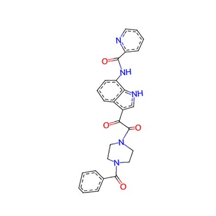 O=C(Nc1cccc2c(C(=O)C(=O)N3CCN(C(=O)c4ccccc4)CC3)c[nH]c12)c1ccccn1